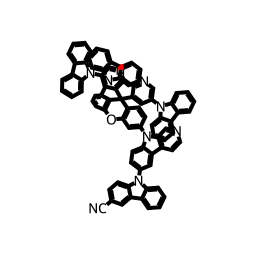 N#Cc1ccc2c(c1)c1ccccc1n2-c1ccc2c(c1)c1ccncc1n2-c1ccc2c(c1)Oc1cccc(-n3c4ccccc4c4ccccc43)c1C21c2cc(-n3c4ccccc4c4ccccc43)cnc2-c2ncc(-n3c4ccccc4c4ccccc43)cc21